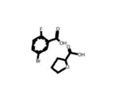 O=C(O)C1CCCO1.O=C(O)c1cc(Br)ccc1F